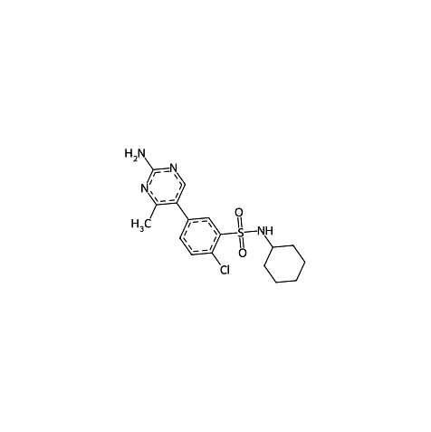 Cc1nc(N)ncc1-c1ccc(Cl)c(S(=O)(=O)NC2CCCCC2)c1